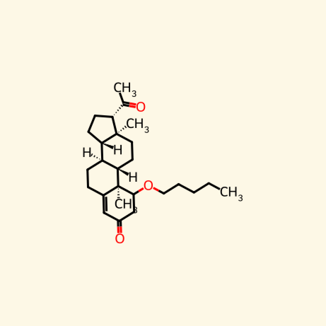 CCCCCOC1CC(=O)C=C2CC[C@H]3[C@@H]4CC[C@H](C(C)=O)[C@@]4(C)CC[C@@H]3[C@]21C